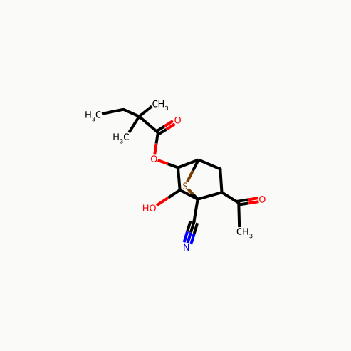 CCC(C)(C)C(=O)OC1C2CC(C(C)=O)C(C#N)(S2)C1O